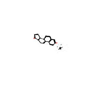 CC(C)(C)[Si](C)(C)Oc1ccc2c(c1)CCC1C2=CC[C@]2(C)C(O)CCC12